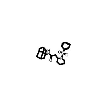 O=C(CC1CCCCN1S(=O)(=O)c1ccccc1)NC12CC3CC(CC(C3)C1)C2